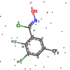 ON=C(Cl)c1cc(C(F)(F)F)cc(F)c1F